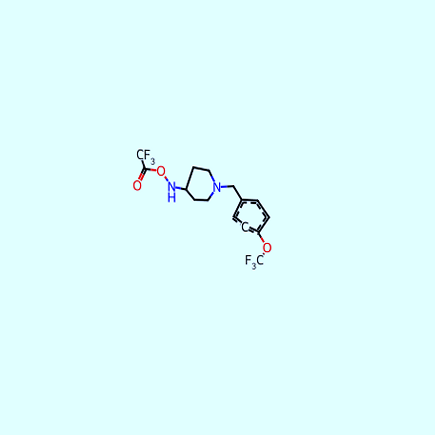 O=C(ONC1CCN(Cc2ccc(OC(F)(F)F)cc2)CC1)C(F)(F)F